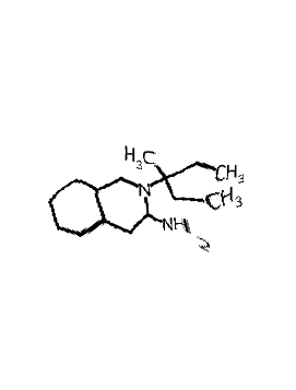 CCC(C)(CC)N1CC2CCCCC2CC1N